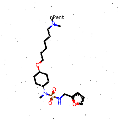 CCCCCN(C)CCCCCCO[C@H]1CC[C@H](N(C)S(=O)(=O)NCc2ccco2)CC1